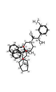 Cc1cccc([C@@H](O)C(=O)N2CCC(CCN3C4CCC3CC(n3c(C)nc5ccccc53)C4)(c3ccccc3)CC2)c1